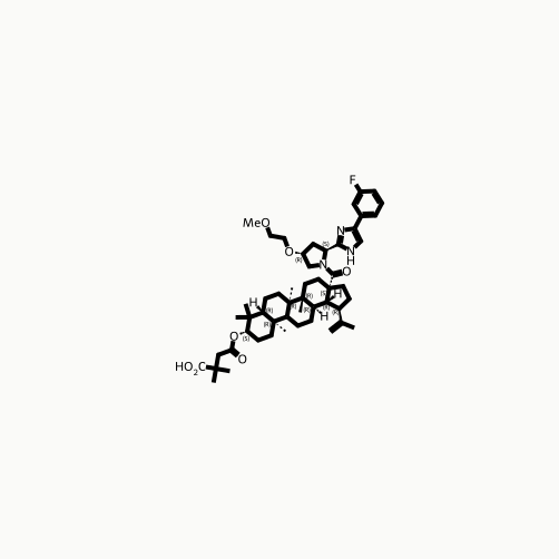 C=C(C)[C@@H]1CC[C@]2(C(=O)N3C[C@H](OCCOC)C[C@H]3c3nc(-c4cccc(F)c4)c[nH]3)CC[C@]3(C)[C@H](CCC4[C@@]5(C)CC[C@H](OC(=O)CC(C)(C)C(=O)O)C(C)(C)[C@@H]5CC[C@]43C)[C@@H]12